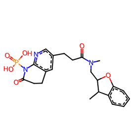 CC1c2ccccc2OC1CN(C)C(=O)CCc1cnc2c(c1)CCC(=O)N2P(=O)(O)O